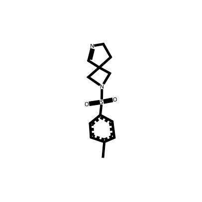 Cc1ccc(S(=O)(=O)N2CC3(C=NCC3)C2)cc1